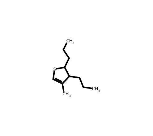 CCCC1SC=C(C)C1CCC